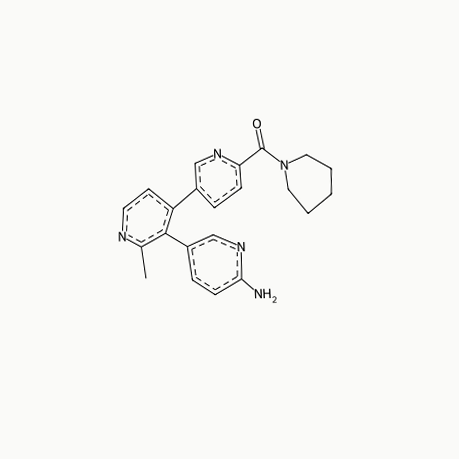 Cc1nccc(-c2ccc(C(=O)N3CCCCC3)nc2)c1-c1ccc(N)nc1